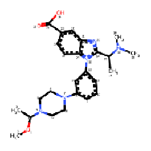 COC(C)N1CCN(c2cccc(-n3c(C(C)N(C)C)nc4cc(C(=O)O)ccc43)c2)CC1